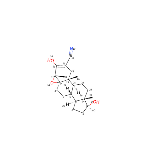 C[C@]1(O)CC[C@H]2[C@@H]3CC[C@]45O[C@]4(C)C(O)=C(C#N)C[C@]5(C)[C@H]3CC[C@@]21C